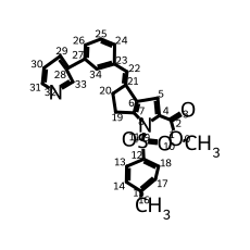 COC(=O)c1cc2c(n1S(=O)(=O)c1ccc(C)cc1)CC/C2=C\c1cccc(-c2cccnc2)c1